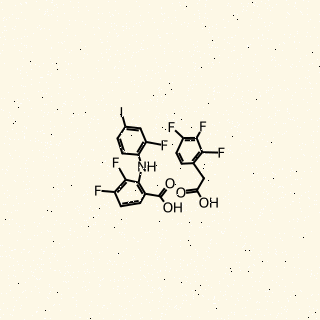 O=C(O)Cc1ccc(F)c(F)c1F.O=C(O)c1ccc(F)c(F)c1Nc1ccc(I)cc1F